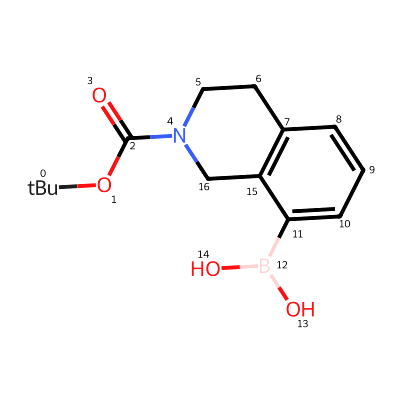 CC(C)(C)OC(=O)N1CCc2cccc(B(O)O)c2C1